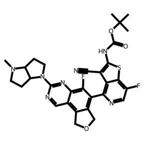 CN1CCC2C1CCN2c1ncc2c3c(c(-c4ncc(F)c5sc(NC(=O)OC(C)(C)C)c(C#N)c45)c(F)c2n1)COC3